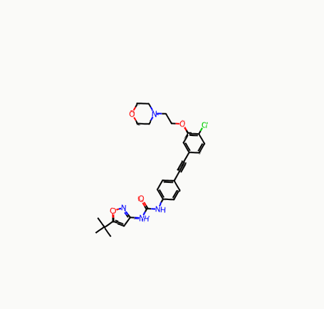 CC(C)(C)c1cc(NC(=O)Nc2ccc(C#Cc3ccc(Cl)c(OCCN4CCOCC4)c3)cc2)no1